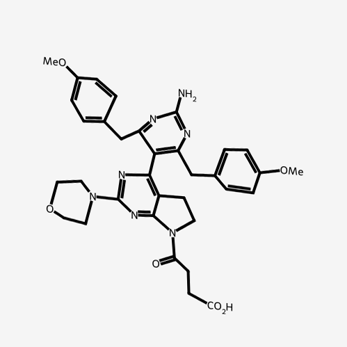 COc1ccc(Cc2nc(N)nc(Cc3ccc(OC)cc3)c2-c2nc(N3CCOCC3)nc3c2CCN3C(=O)CCC(=O)O)cc1